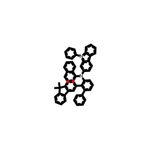 CC1(C)c2ccccc2-c2cc(-c3c(-c4ccccc4)cccc3N(c3ccc4c5ccccc5n(-c5ccccc5)c4c3)c3cccc4ccccc34)ccc21